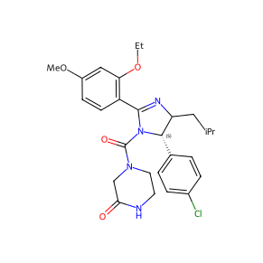 CCOc1cc(OC)ccc1C1=NC(CC(C)C)[C@H](c2ccc(Cl)cc2)N1C(=O)N1CCNC(=O)C1